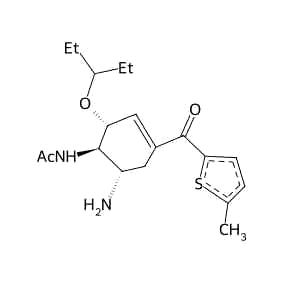 CCC(CC)O[C@@H]1C=C(C(=O)c2ccc(C)s2)C[C@H](N)[C@H]1NC(C)=O